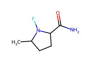 CC1CCC(C(N)=O)N1F